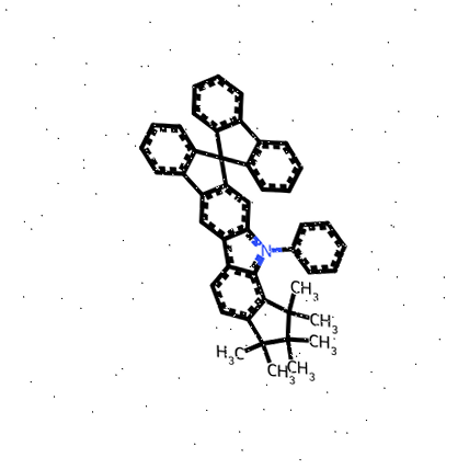 CC1(C)c2ccc3c4cc5c(cc4n(-c4ccccc4)c3c2C(C)(C)C1(C)C)C1(c2ccccc2-c2ccccc21)c1ccccc1-5